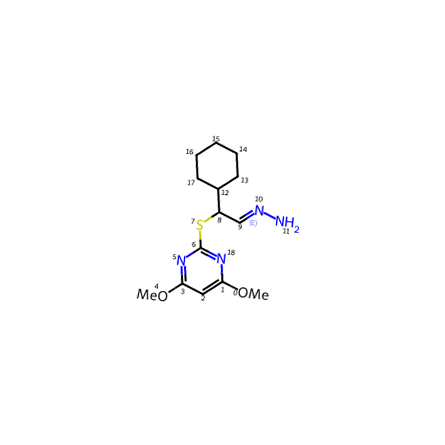 COc1cc(OC)nc(SC(/C=N/N)C2CCCCC2)n1